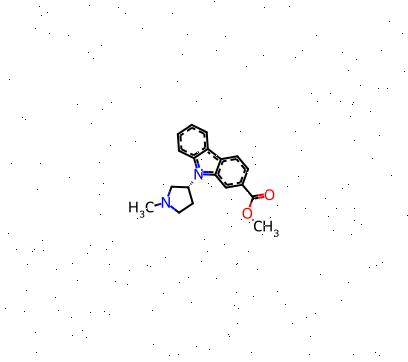 COC(=O)c1ccc2c3ccccc3n([C@@H]3CCN(C)C3)c2c1